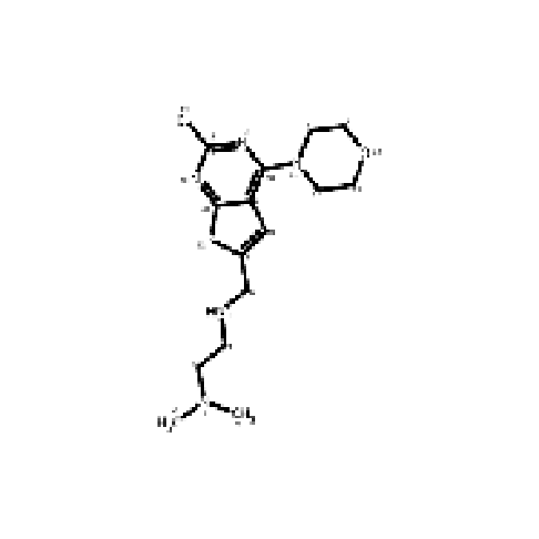 CN(C)CCNCc1cc2c(N3CCOCC3)nc(Cl)nc2s1